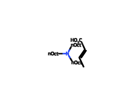 C/C=C/C(=O)O.CCCCCCCCN(CCCCCCCC)CCCCCCCC